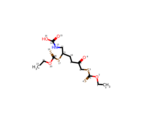 CCOC(=S)SCC(=O)CCC(CNC(=O)O)SC(=S)OCC